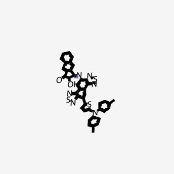 Cc1ccc(N(c2ccc(C)cc2)c2ccc(-c3cc4c(cc(/N=C5/c6cc7ccccc7cc6C(=O)C5O)c5nsnc54)c4nsnc34)s2)cc1